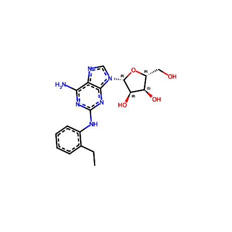 CCc1ccccc1Nc1nc(N)c2ncn([C@@H]3O[C@H](CO)[C@@H](O)[C@H]3O)c2n1